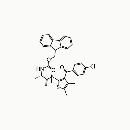 C=C(Nc1sc(C)c(C)c1C(=O)c1ccc(Cl)cc1)[C@H](C)NC(=O)OCC1c2ccccc2-c2ccccc21